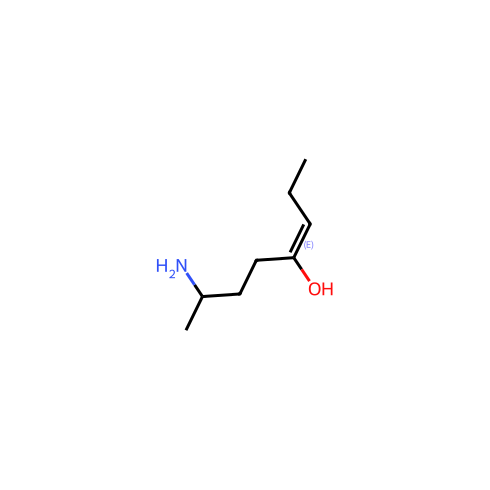 CC/C=C(/O)CCC(C)N